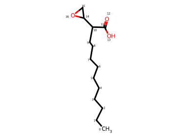 CCCCCCCCCCC(C(=O)O)C1CO1